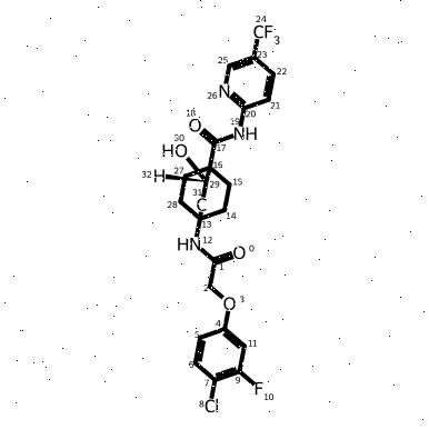 O=C(COc1ccc(Cl)c(F)c1)NC12CCC(C(=O)Nc3ccc(C(F)(F)F)cn3)(CC1)[C@@H](O)C2